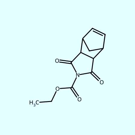 CCOC(=O)N1C(=O)C2C3C=CC(C3)C2C1=O